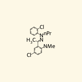 CCCN(/N=C(\C)c1cc(Cl)ccc1NC)c1ccccc1Cl